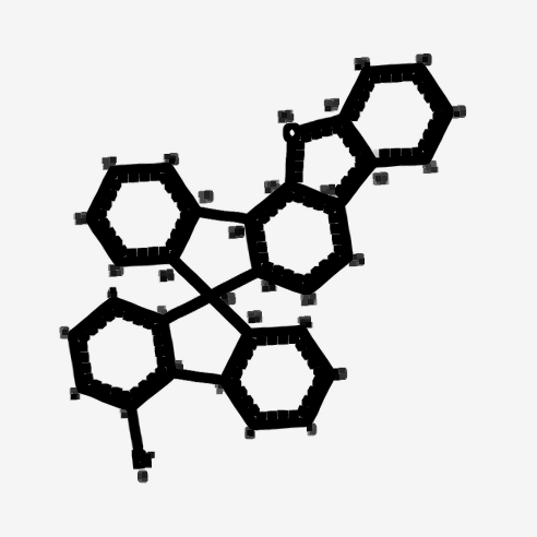 Brc1cccc2c1-c1ccccc1C21c2ccccc2-c2c1ccc1c2oc2ccccc21